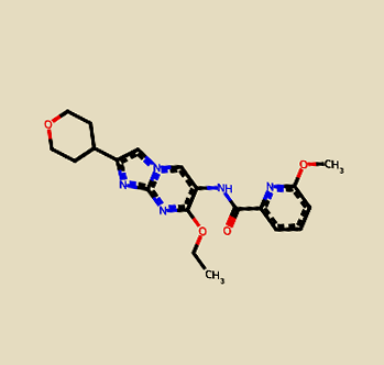 CCOc1nc2nc(C3CCOCC3)cn2cc1NC(=O)c1cccc(OC)n1